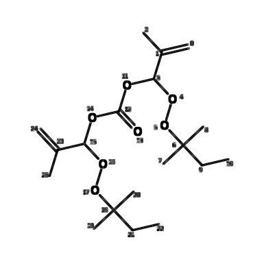 C=C(C)C(OOC(C)(C)CC)OC(=O)OC(OOC(C)(C)CC)C(=C)C